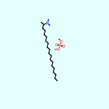 CCCCCCCCCCCCCCCCCCC(C)N(C)C.COS(=O)(=O)O